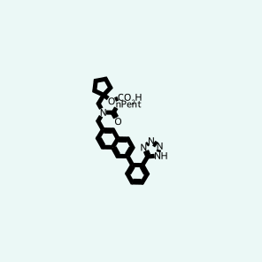 CCCCCC(=O)N(Cc1ccc2cc(-c3ccccc3-c3nnn[nH]3)ccc2c1)CC1(OC(=O)O)CCCC1